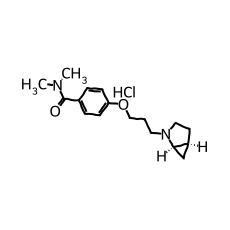 CN(C)C(=O)c1ccc(OCCCN2CC[C@H]3C[C@H]32)cc1.Cl